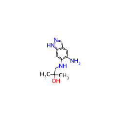 CC(C)(O)CNc1cc2[nH]ncc2cc1N